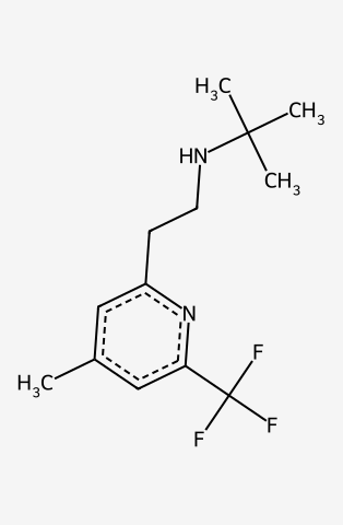 Cc1cc(CCNC(C)(C)C)nc(C(F)(F)F)c1